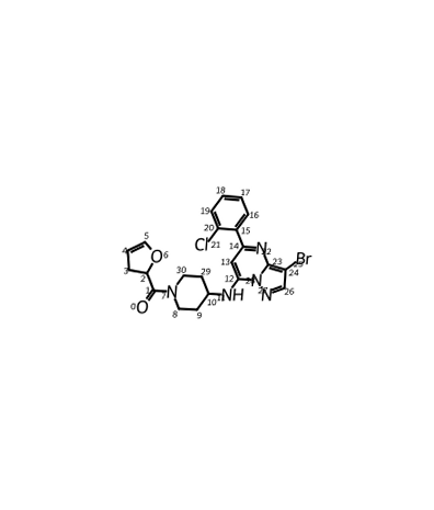 O=C(C1CC=CO1)N1CCC(Nc2cc(-c3ccccc3Cl)nc3c(Br)cnn23)CC1